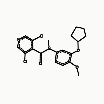 COc1ccc(N(C)C(=O)c2c(Cl)cncc2Cl)cc1OC1CCCC1